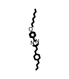 CCCCCCCCOc1ccc(-c2ncc(CCC3CCC(CCCC)CC3)cn2)cc1